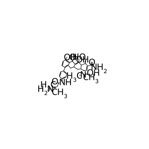 CN(C)[C@@H]1C(O)=C(C(N)=O)/C(=C/O)C2C(O)=C3C(=O)c4c(O)ccc(-c5ccc(NC(=O)CC(C)(C)N)cc5)c4CC3CC21